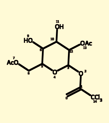 C=C(OC1OC(COC(C)=O)C(O)C(O)C1OC(C)=O)C(Cl)(Cl)Cl